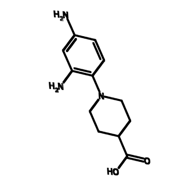 Nc1ccc(N2CCC(C(=O)O)CC2)c(N)c1